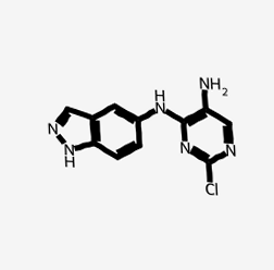 Nc1cnc(Cl)nc1Nc1ccc2[nH]ncc2c1